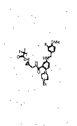 CCN1CCN(c2ccc(NCc3ccc(OC)c(F)c3)cc2C(=O)NCC2CC2)CC1.O=C(O)C(F)(F)F